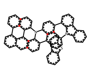 c1ccc(-c2cccc3cccc(-c4ccccc4N(c4ccc(-c5cccc6c7ccccc7n(-c7ccccc7)c56)cc4)c4ccccc4-c4cccc5sc6ccccc6c45)c23)cc1